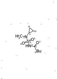 CCC(C)C(=O)NS(=O)(=O)N(C)C1CC1